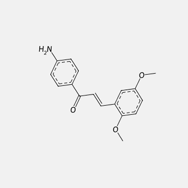 COc1ccc(OC)c(C=CC(=O)c2ccc(N)cc2)c1